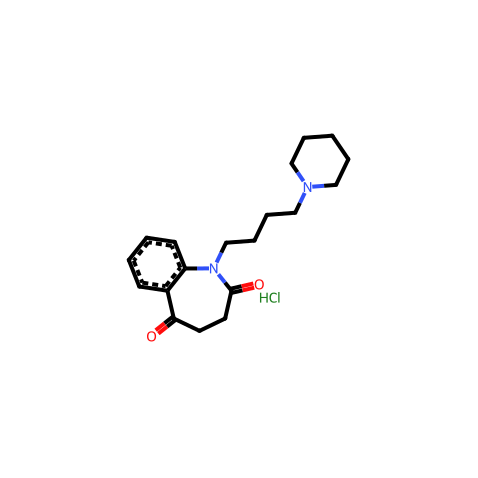 Cl.O=C1CCC(=O)N(CCCCN2CCCCC2)c2ccccc21